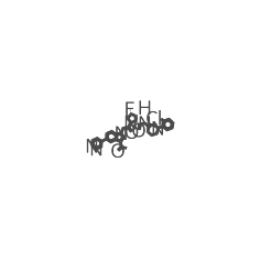 CC(=O)c1cn(CC(=O)N2C[C@H](F)C[C@@H]2C(=O)NC2CCCN(c3ccccc3Cl)C2)c2ccc(-c3ccnnc3)cc12